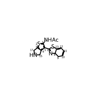 CC(=O)Nc1sc2c(c1C1=NC3CC=CC=C3S1)CNC2